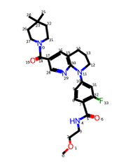 COCCNC(=O)c1ccc(N2CCCc3cc(C(=O)N4CCC(C)(C)CC4)cnc32)cc1F